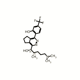 C[C@@H](CCCN(C)C)[C@@H](O)c1nnc(-c2ccc(C(F)(F)F)cc2O)c2c1CCC2